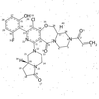 C=CC(=O)N1CCN2C(=O)c3c(N4CCN5C(=O)CC[C@@H]5C4)nc(-c4c(O)cccc4F)c(Cl)c3OC[C@H]2C1